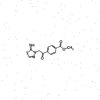 COC(=O)c1ccc(C(=O)Cn2ncsc2=N)cc1